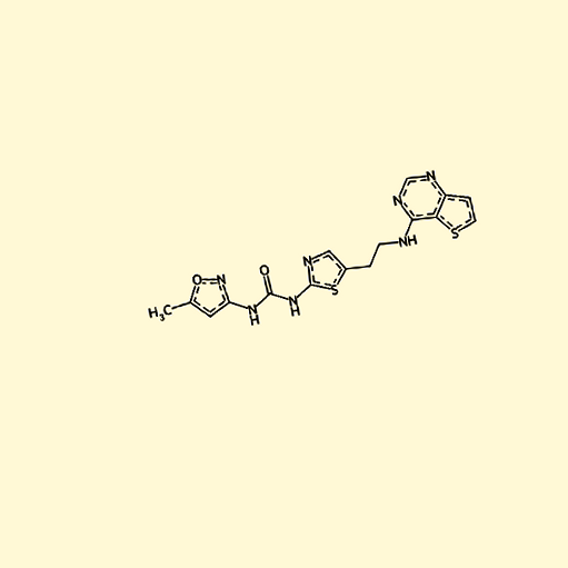 Cc1cc(NC(=O)Nc2ncc(CCNc3ncnc4ccsc34)s2)no1